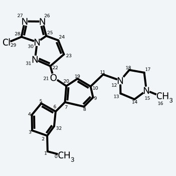 CCc1cccc(-c2ccc(CN3CCN(C)CC3)cc2Oc2ccc3nnc(Cl)n3n2)c1